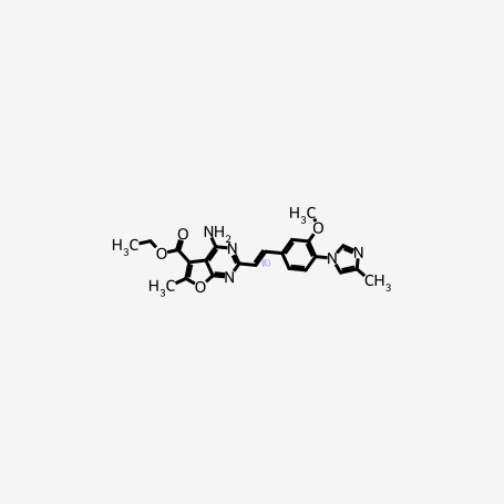 CCOC(=O)c1c(C)oc2nc(/C=C/c3ccc(-n4cnc(C)c4)c(OC)c3)nc(N)c12